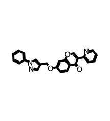 O=c1c(-c2ccccn2)coc2cc(OCc3cnn(-c4ccccc4)c3)ccc12